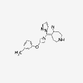 Cc1cccc(OC2CN(c3c4c(nc5ccnn35)CCNCC4)C2)c1